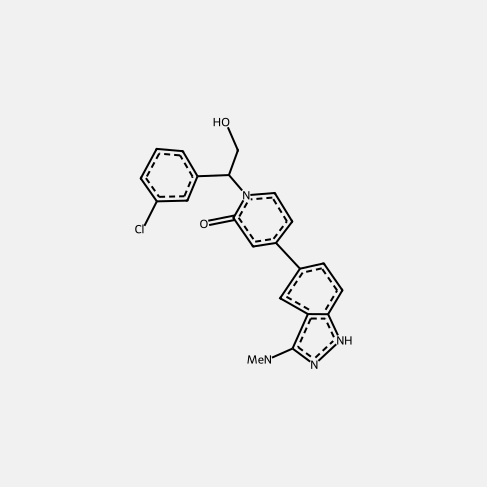 CNc1n[nH]c2ccc(-c3ccn(C(CO)c4cccc(Cl)c4)c(=O)c3)cc12